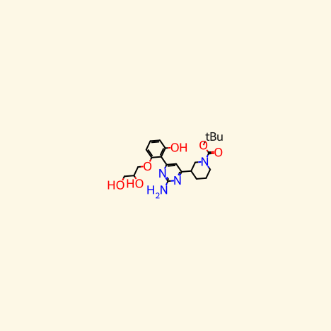 CC(C)(C)OC(=O)N1CCCC(c2cc(-c3c(O)cccc3OCC(O)CO)nc(N)n2)C1